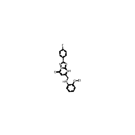 CCOc1ccccc1NCc1cc(=O)n2nc(-c3ccc(F)cc3)nc2[nH]1